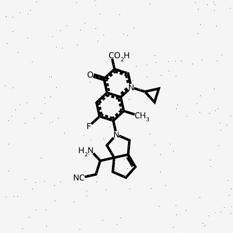 Cc1c(N2CC3=CCCC3(C(N)CC#N)C2)c(F)cc2c(=O)c(C(=O)O)cn(C3CC3)c12